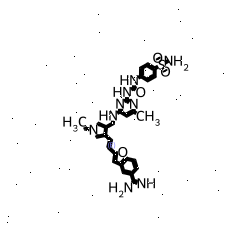 CCN1CC(/C=C/c2cc3cc(C(=N)N)ccc3o2)C(CNc2cc(C)nc(NC(=O)Nc3ccc(S(N)(=O)=O)cc3)n2)C1